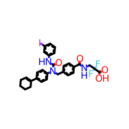 O=C(NCC(F)(F)C(=O)O)c1ccc(CN(C(=O)Nc2cccc(I)c2)c2ccc(C3=CCCCC3)cc2)cc1